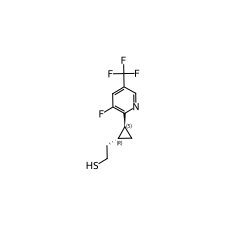 Fc1cc(C(F)(F)F)cnc1[C@H]1C[C@@H]1CCS